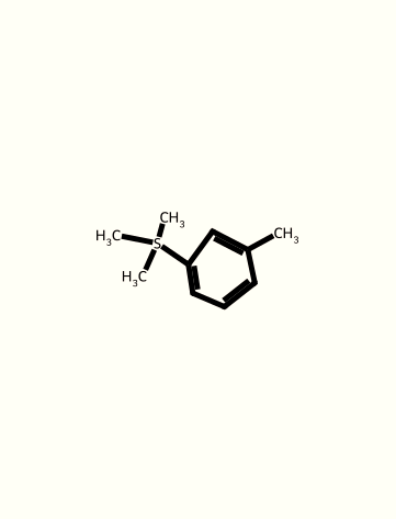 Cc1cccc(S(C)(C)C)c1